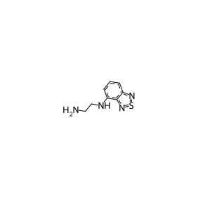 NCCNc1cccc2nsnc12